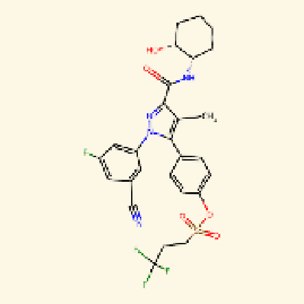 Cc1c(C(=O)N[C@H]2CCCC[C@H]2O)nn(-c2cc(F)cc(C#N)c2)c1-c1ccc(OS(=O)(=O)CCC(F)(F)F)cc1